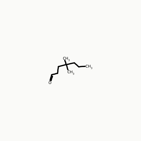 CCCC(C)(C)CCC=O